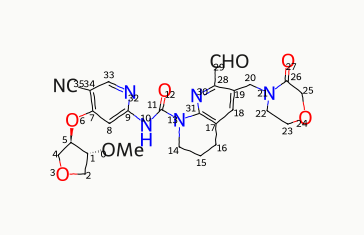 CO[C@@H]1COC[C@H]1Oc1cc(NC(=O)N2CCCc3cc(CN4CCOCC4=O)c(C=O)nc32)ncc1C#N